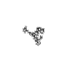 C=CC(=O)N1CCN(c2nc(OCCC[C@@H]3CCCN3C)cc3c2CCN(c2nccc4c2CCCN4C)C3)C[C@@H]1CC#N